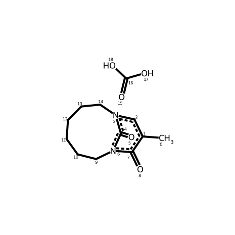 Cc1cn2c(=O)n(c1=O)CCCCCC2.O=C(O)O